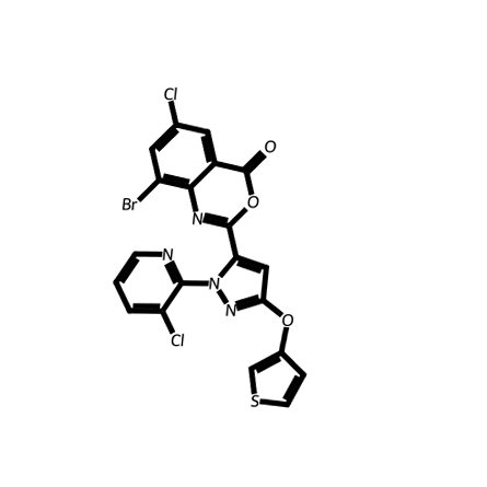 O=c1oc(-c2cc(Oc3ccsc3)nn2-c2ncccc2Cl)nc2c(Br)cc(Cl)cc12